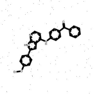 CCOc1ccc(-c2cc3c(Nc4ccc(C(=O)c5ccccc5)cc4)ccnc3[nH]2)cc1